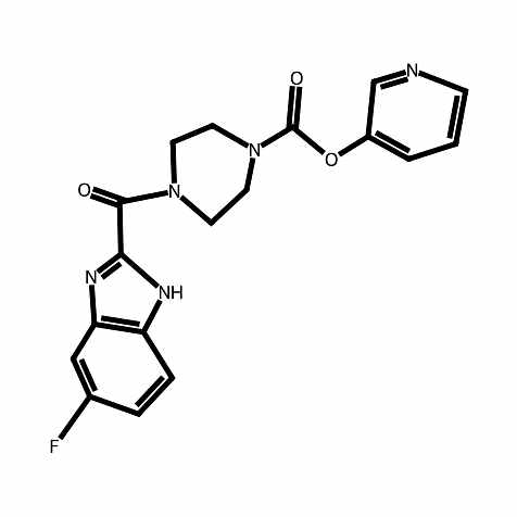 O=C(Oc1cccnc1)N1CCN(C(=O)c2nc3cc(F)ccc3[nH]2)CC1